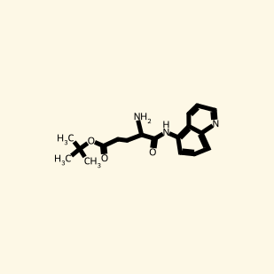 CC(C)(C)OC(=O)CCC(N)C(=O)Nc1cccc2ncccc12